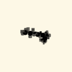 CCc1cc(N(C=S)C(C)(C)C(=O)N(C)c2ccc(C#N)c(C(F)(F)F)c2)ccc1OC1CCN(CC(=O)Nc2cc(Cl)cc(NC3CCC(=O)NC3=O)c2)CC1